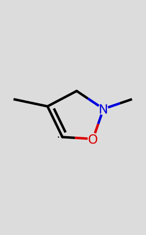 CC1=[C]ON(C)C1